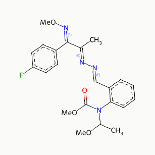 CO/N=C(/C(C)=N/N=C/c1ccccc1N(C(=O)OC)C(C)OC)c1ccc(F)cc1